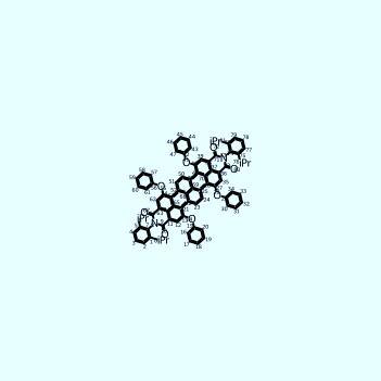 CC(C)c1cccc(C(C)C)c1N1C(=O)c2cc(Oc3ccccc3)c3c4ccc5c6c(Oc7ccccc7)cc7c8c(cc(Oc9ccccc9)c(c9ccc(c%10c(Oc%11ccccc%11)cc(c2c3%10)C1=O)c4c59)c86)C(=O)N(c1c(C(C)C)cccc1C(C)C)C7=O